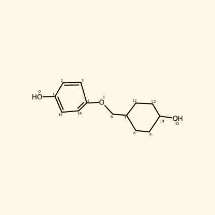 Oc1ccc(OCC2CCC(O)CC2)cc1